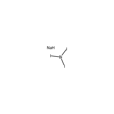 [I][Bi]([I])[I].[NaH]